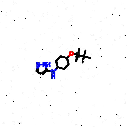 CC(C)(C)[Si](C)(C)OC1CCC(Nc2ccn[nH]2)CC1